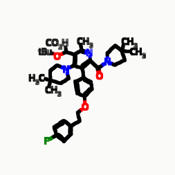 Cc1nc(C(=O)N2CCC(C)(C)CC2)c(-c2ccc(OCCc3ccc(F)cc3)cc2)c(N2CCC(C)(C)CC2)c1C(OC(C)(C)C)C(=O)O